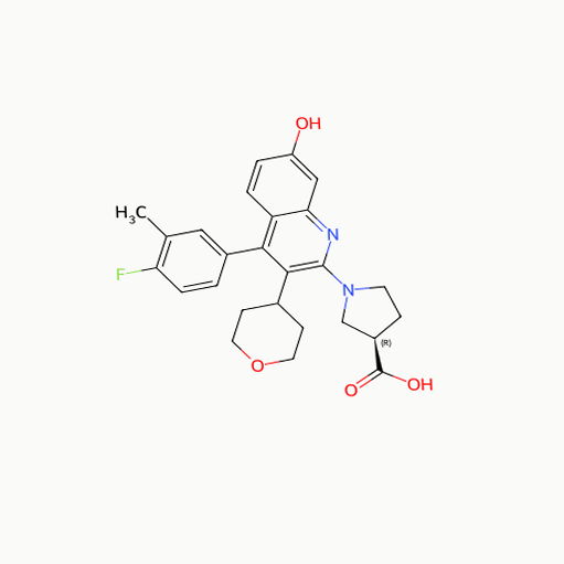 Cc1cc(-c2c(C3CCOCC3)c(N3CC[C@@H](C(=O)O)C3)nc3cc(O)ccc23)ccc1F